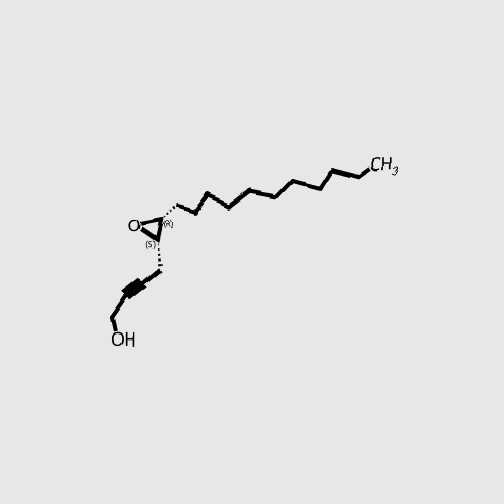 CCCCCCCCCCC[C@H]1O[C@H]1CC#CCO